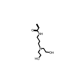 C=CC(=O)NCCCN(CCO)CCO